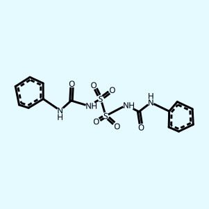 O=C(Nc1ccccc1)NS(=O)(=O)S(=O)(=O)NC(=O)Nc1ccccc1